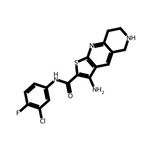 Nc1c(C(=O)Nc2ccc(F)c(Cl)c2)sc2nc3c(cc12)CNCC3